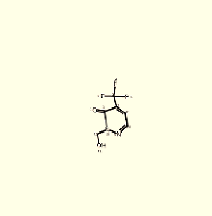 O=c1c(C(F)(F)F)ccnn1CO